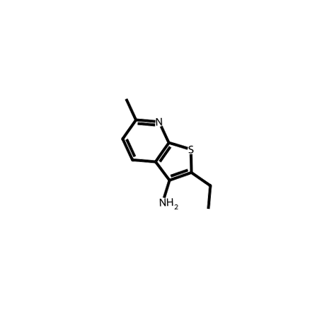 CCc1sc2nc(C)ccc2c1N